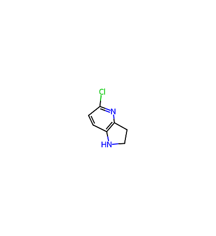 Clc1ccc2c(n1)CCN2